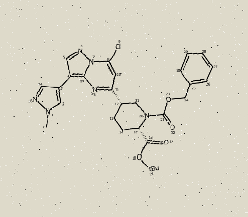 Cn1cc(-c2cnn3c(Cl)cc([C@H]4CC[C@@H](C(=O)OC(C)(C)C)N(C(=O)OCc5ccccc5)C4)nc23)cn1